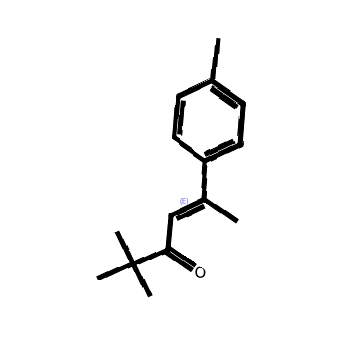 C/C(=C\C(=O)C(C)(C)C)c1ccc(C)cc1